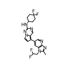 Cc1nc2ncc(-c3ccn4nc(NC5CCC(F)(F)CC5)ncc34)cc2n1CC(F)F